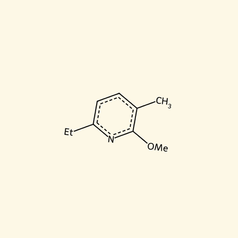 CCc1ccc(C)c(OC)n1